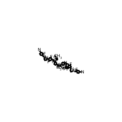 CO[C@@H]1CC[C@@H]1n1c(Cc2cc(F)c(-c3cccc(OCc4ccc(C#N)cc4F)n3)cc2F)nc2ccc(C(=O)OC(=O)c3ccc4nc(Cc5cc(F)c(-c6cccc(OCc7ccc(C#N)cc7F)n6)cc5F)n([C@H]5CC[C@H]5OC)c4c3)cc21